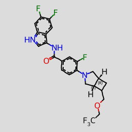 O=C(Nc1c[nH]c2cc(F)c(F)cc12)c1ccc(N2C[C@@H]3CC(COCC(F)(F)F)[C@@H]3C2)c(F)c1